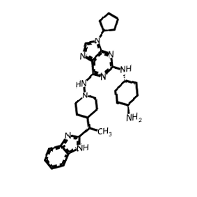 CC(c1nc2ccccc2[nH]1)C1CCN(Nc2nc(N[C@H]3CC[C@H](N)CC3)nc3c2ncn3C2CCCC2)CC1